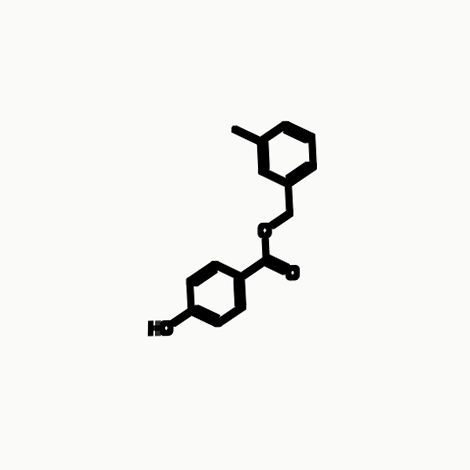 Cc1cccc(COC(=O)c2ccc(O)cc2)c1